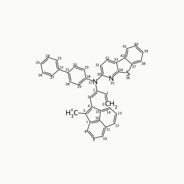 C=C/C(=C\C1=C(C)c2cccc3cccc1c23)N(c1ccc(-c2ccccc2)cc1)c1ccc2c(n1)sc1ccccc12